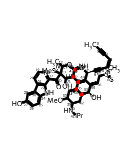 CC#C/C=C\C#C[C@H](OC1OC(C)C(SC)(C(=O)c2nccc3c2[nH]c2ccc(O)cc23)C(O)C1OC1CC(OC)C(NC(C)C)CO1)C1=C(NC(=N)NC)C(=O)C[C@H](O)/C1=C/CS(C)=S